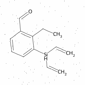 C=C[SiH](C=C)c1cccc([C]=O)c1CC